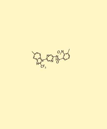 Cc1ccc2c(c1)nc(C(F)(F)F)n2-c1cnc(NC(=O)c2cccc(C)c2[N+](=O)[O-])cn1